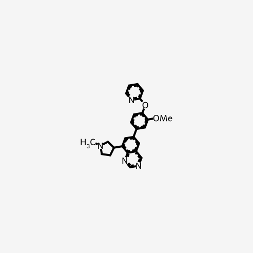 COc1cc(-c2cc(C3CCN(C)C3)c3ncncc3c2)ccc1Oc1ccccn1